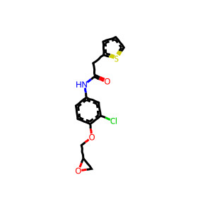 O=C(Cc1cccs1)Nc1ccc(OCC2CO2)c(Cl)c1